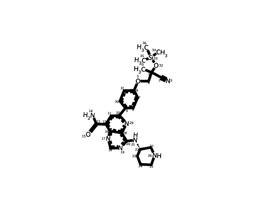 CC(C#N)(COc1ccc(-c2cc(C(N)=O)c3ncnc(N[C@H]4CCCNC4)c3n2)cc1)O[Si](C)(C)C